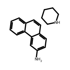 C1CCNCC1.Nc1ccc2ccc3ccccc3c2c1